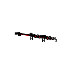 NCCOCCOCCOCC(=O)NCCOCCOCCOCCOCCOCCNC(=O)CCCCCCCCCCCCCCCCC(=O)O